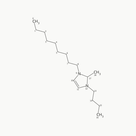 CCCCCCCCCN1C=CN(CCCC)C1C